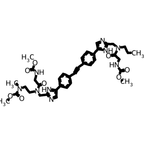 CCCN(Cc1ncc(-c2ccc(C#Cc3ccc(-c4cnc(CN(CCN(C)C(=O)OC)C(=O)CNC(=O)OC)[nH]4)cc3)cc2)[nH]1)C(=O)CNC(=O)OC